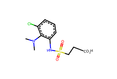 CN(C)c1c(Cl)cccc1NS(=O)(=O)CCC(=O)O